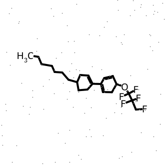 CCCCCCCC1CC=C(C2=CCC(OC(F)(F)C(F)(F)CF)C=C2)CC1